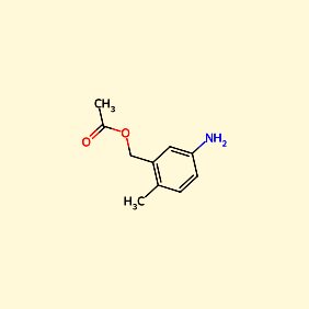 CC(=O)OCc1cc(N)ccc1C